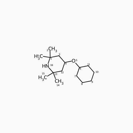 CC1(C)CC(OC2CCCCC2)CC(C)(C)N1